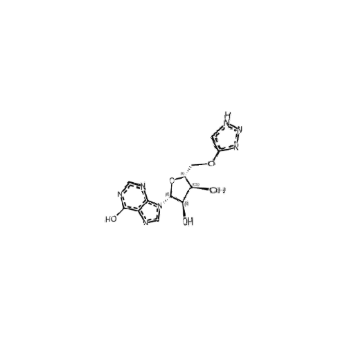 Oc1ncnc2c1ncn2[C@@H]1O[C@H](COc2c[nH]nn2)[C@@H](O)[C@H]1O